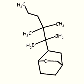 BC(B)(C1CC2CCC1CC2)C(C)(C)CCC